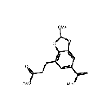 COC(=O)COc1cc(C(=O)OC)cc2c1OC(OC)O2